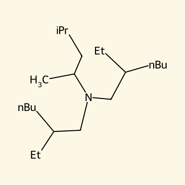 CCCCC(CC)CN(CC(CC)CCCC)C(C)CC(C)C